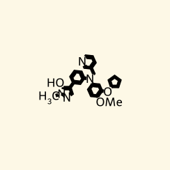 COc1ccc(N(Cc2cccnc2)c2cccc(-c3cnn(C)c3O)c2)cc1OC1CCCC1